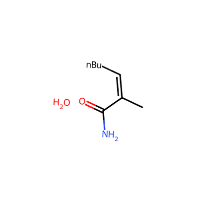 CCCCC=C(C)C(N)=O.O